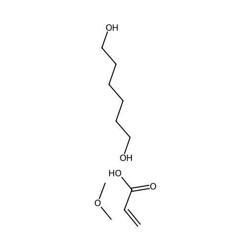 C=CC(=O)O.COC.OCCCCCCO